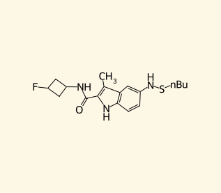 CCCCSNc1ccc2[nH]c(C(=O)NC3CC(F)C3)c(C)c2c1